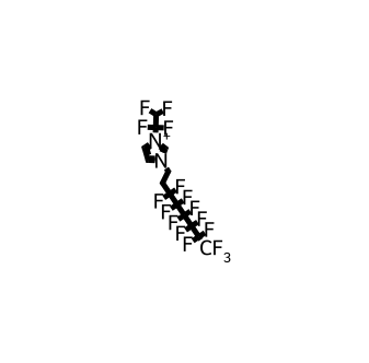 FC(F)C(F)(F)[n+]1ccn(CCC(F)(F)C(F)(F)C(F)(F)C(F)(F)C(F)(F)C(F)(F)F)c1